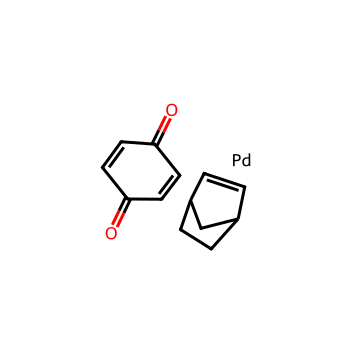 C1=CC2CCC1C2.O=C1C=CC(=O)C=C1.[Pd]